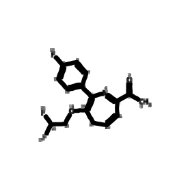 CC(=O)C1=NC(c2ccc(F)cc2)=C(OCC(F)F)CC=C1